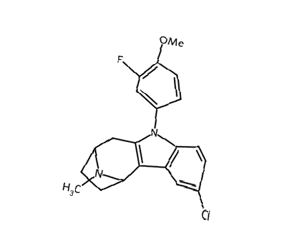 COc1ccc(-n2c3c(c4cc(Cl)ccc42)C2CCC(C3)N2C)cc1F